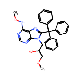 COCC(O)Cn1c(C(c2ccccc2)(c2ccccc2)c2ccccc2)nc2c(NOC)ncnc21